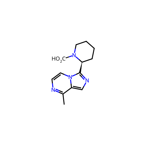 Cc1nccn2c([C@@H]3CCCCN3C(=O)O)ncc12